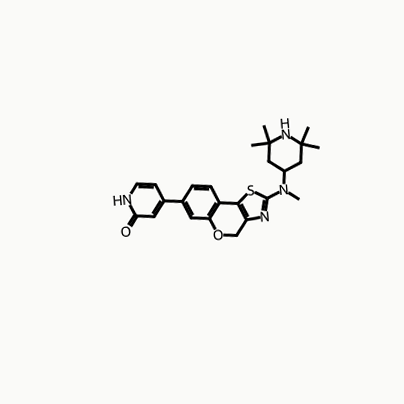 CN(c1nc2c(s1)-c1ccc(-c3cc[nH]c(=O)c3)cc1OC2)C1CC(C)(C)NC(C)(C)C1